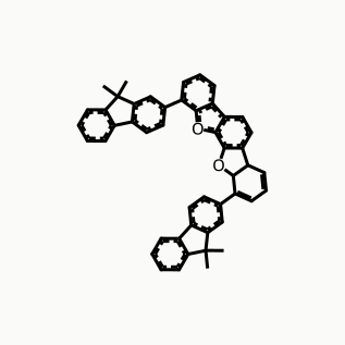 CC1(C)c2ccccc2-c2ccc(C3=CC=CC4c5ccc6c(oc7c(-c8ccc9c(c8)C(C)(C)c8ccccc8-9)cccc76)c5OC34)cc21